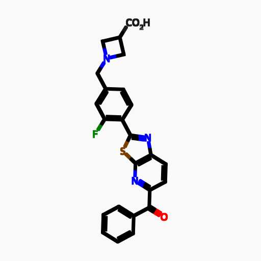 O=C(c1ccccc1)c1ccc2nc(-c3ccc(CN4CC(C(=O)O)C4)cc3F)sc2n1